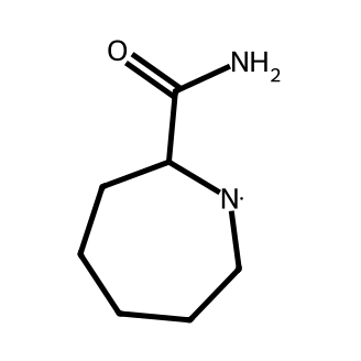 NC(=O)C1CCCCC[N]1